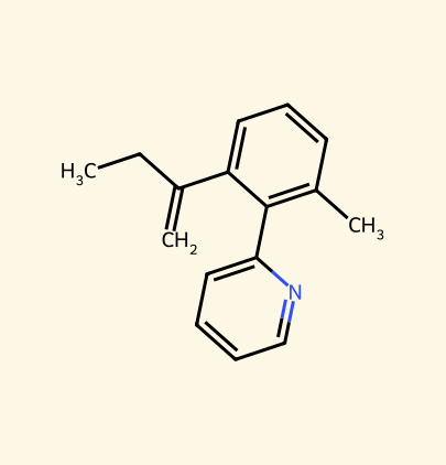 C=C(CC)c1cccc(C)c1-c1ccccn1